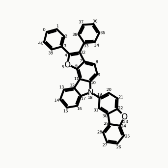 c1ccc(-c2oc3c(ccc4c3c3ccccc3n4-c3ccc4oc5ccccc5c4c3)c2-c2ccccc2)cc1